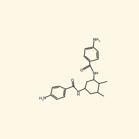 CC1CC(NC(=O)c2ccc(N)cc2)CC(NC(=O)c2ccc(N)cc2)C1C